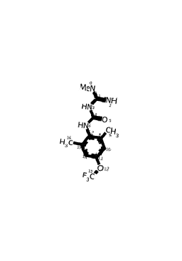 CNC(=N)NC(=O)Nc1c(C)cc(OC(F)(F)F)cc1C